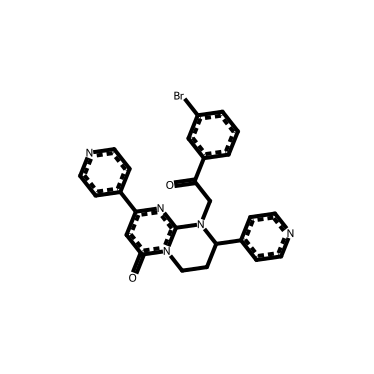 O=C(CN1c2nc(-c3ccncc3)cc(=O)n2CCC1c1ccncc1)c1cccc(Br)c1